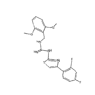 COc1cccc(OC)c1CNC(=N)Nc1nc(-c2ccc(F)cc2F)cs1